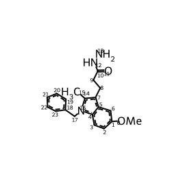 COc1ccc2c(c1)c(CCC(=O)NN)c(C)n2Cc1ccccc1